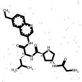 CCc1ccc2ncc(NC(=O)[C@@H](CC(C)C)NC(=O)[C@@H]3C[C@@H](NC(=O)CN)CN3)cc2c1